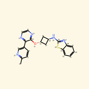 Cc1ccc(-c2nccnc2O[C@H]2C[C@H](Nc3nc4ccccc4s3)C2)cn1